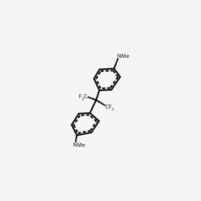 CNc1ccc(C(c2ccc(NC)cc2)(C(F)(F)F)C(F)(F)F)cc1